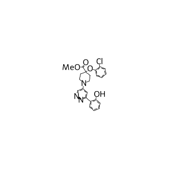 COC(=O)C1(Oc2ccccc2Cl)CCN(c2cnnc(-c3ccccc3O)c2)CC1